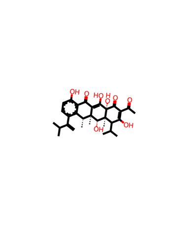 C=C(c1ccc(O)c2c1[C@@H](C)[C@@]1(C)C(=C(O)[C@@]3(O)C(=O)C(C(C)=O)=C(O)C(C(C)C)[C@@]3(C)[C@@H]1O)C2=O)C(C)C